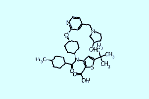 CC1CCC(C(=O)N(c2cc(C(C)(C)C)sc2C(=O)O)[C@H]2CC[C@H](Oc3cc(CN4CCC(O)C4)ccn3)CC2)CC1